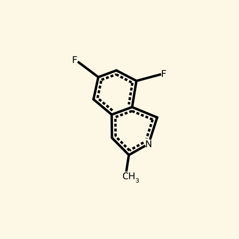 Cc1cc2cc(F)cc(F)c2cn1